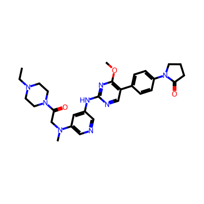 CCN1CCN(C(=O)CN(C)c2cncc(Nc3ncc(-c4ccc(N5CCCC5=O)cc4)c(OC)n3)c2)CC1